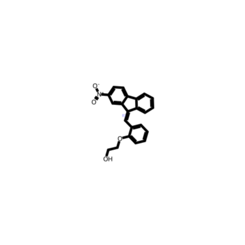 O=[N+]([O-])c1ccc2c(c1)/C(=C/c1ccccc1OCCO)c1ccccc1-2